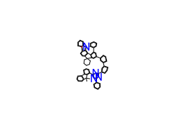 CC1(C)c2ccccc2-c2cccc(-c3nc(-c4ccccc4)nc(-c4cccc(-c5cccc(-c6cc7c8c(c6)C6(CCCCC6)c6ccc9c%10ccccc%10n(c9c6-8)-c6ccccc6-7)c5)c4)n3)c21